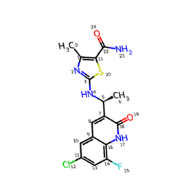 Cc1nc(N[C@@H](C)c2cc3cc(Cl)cc(F)c3[nH]c2=O)sc1C(N)=O